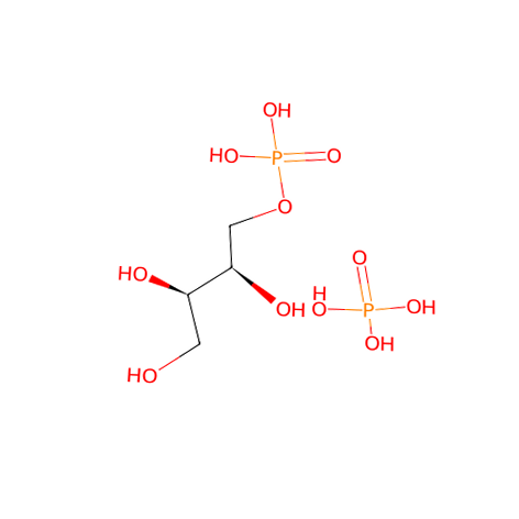 O=P(O)(O)O.O=P(O)(O)OC[C@@H](O)[C@H](O)CO